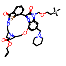 C=CCOC(=O)N1C2CCC1Cn1sc3c(cccc3c1=O)-c1nc3c(cc(CN4CCCCC4)cc3n(COCC[Si](C)(C)C)c1=O)OC2